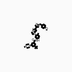 COc1ccc(Cn2cc(-c3cc4n(-c5cc(NC(=O)c6cc(N7CCN(C)CC7)cc(C(C)(C)C)c6)ccc5C)ccn4n3)cn2)cc1